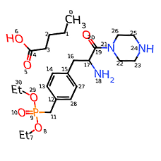 CCCCC(=O)O.CCOP(=O)(Cc1ccc(CC(N)C(=O)N2CCNCC2)cc1)OCC